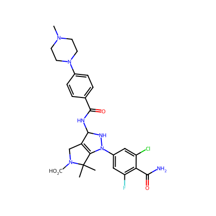 CN1CCN(c2ccc(C(=O)NC3NN(c4cc(F)c(C(N)=O)c(Cl)c4)C4=C3CN(C(=O)O)C4(C)C)cc2)CC1